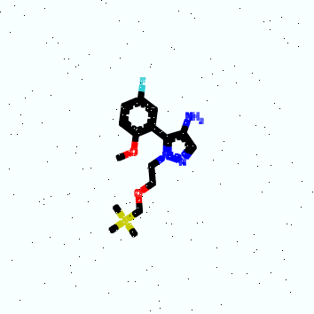 COc1ccc(F)cc1-c1c(N)cnn1CCOCS(C)(C)C